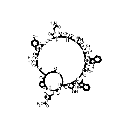 CCCC[C@H]1C(=O)N(C)[C@@H](CCCC)C(=O)N[C@@H](C)C(=O)N[C@H](C(=O)NCC(N)=O)CSCC(=O)N[C@@H](Cc2ccc(O)cc2)C(=O)N(C)[C@@H](C)C(=O)N[C@H]2CCC(=O)NCCC[C@@H](NC(=O)[C@H](Cc3cn(C(=O)C(F)(F)F)cn3)NC(=O)[C@@H]3CCCC3C2=O)C(=O)N2C[C@H](O)C[C@H]2C(=O)C[C@@H](Cc2c[nH]c3ccccc23)C(=O)N[C@@H](CO)C(=O)N[C@@H](Cc2c[nH]c3ccccc23)C(=O)N1C